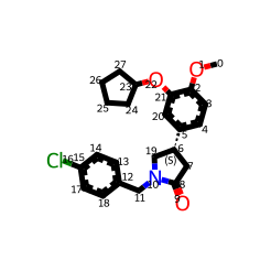 COc1ccc([C@@H]2CC(=O)N(Cc3ccc(Cl)cc3)C2)cc1OC1CCCC1